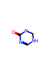 O=C1[N]CNC=[N+]1